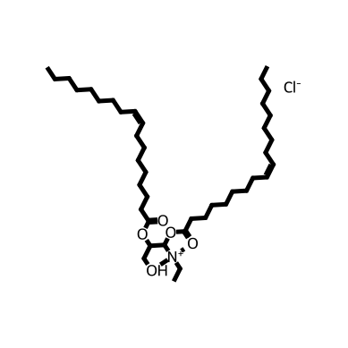 CCCCCCCC/C=C\CCCCCCCC(=O)OC(CO)C(OC(=O)CCCCCCC/C=C\CCCCCCCC)[N+](C)(C)CC.[Cl-]